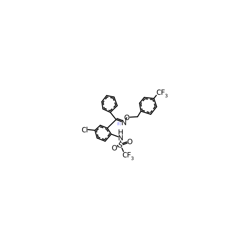 O=S(=O)(Nc1ccc(Cl)cc1/C(=N/OCc1ccc(C(F)(F)F)cc1)c1ccccc1)C(F)(F)F